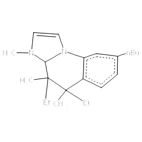 CCCCc1ccc2c(c1)N1C=CN(C)C1C(C)(CC)C2(C)CC